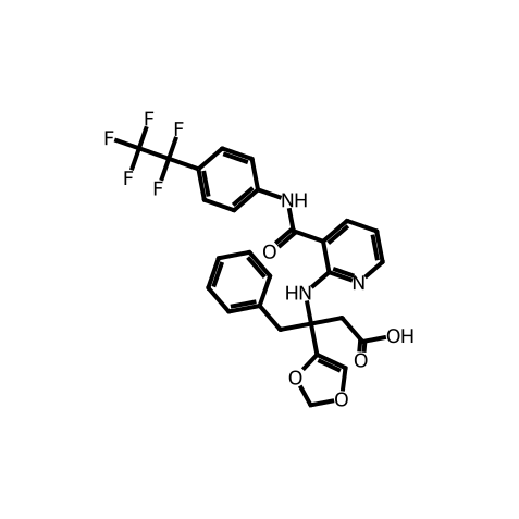 O=C(O)CC(Cc1ccccc1)(Nc1ncccc1C(=O)Nc1ccc(C(F)(F)C(F)(F)F)cc1)C1=COCO1